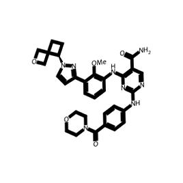 COc1c(Nc2nc(Nc3ccc(C(=O)N4CCOCC4)cc3)ncc2C(N)=O)cccc1-c1ccn([C@@H]2CCC23COC3)n1